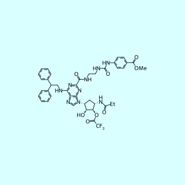 CCC(=O)N[C@H]1C[C@@H](n2cnc3c(NCC(c4ccccc4)c4ccccc4)nc(C(=O)NCCNC(=O)Nc4ccc(C(=O)OC)cc4)nc32)[C@H](O)[C@@H]1OC(=O)C(F)(F)F